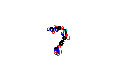 CC(C)(c1ccc(OCc2ccnc(NS(C)(=O)=O)n2)cc1)c1cc(Cl)c(OCCC(F)(F)CCOc2ccc3c(=O)n(C4CCC(=O)NC4=O)ncc3c2)c(C#N)c1